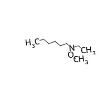 CCCCCCN(CC)OC